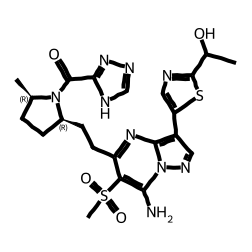 CC(O)c1ncc(-c2cnn3c(N)c(S(C)(=O)=O)c(CC[C@H]4CC[C@@H](C)N4C(=O)c4nnc[nH]4)nc23)s1